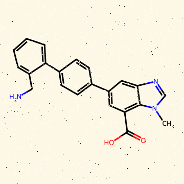 Cn1cnc2cc(-c3ccc(-c4ccccc4CN)cc3)cc(C(=O)O)c21